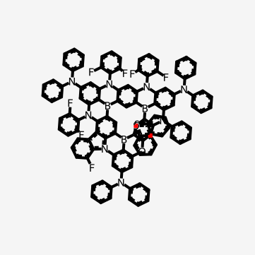 Fc1cccc(F)c1N1c2cc3c(cc2B2c4sc5ccccc5c4N(c4ccccc4)c4cc(N(c5ccccc5)c5ccccc5)cc1c42)B1c2cc4c5c(c2N(c2c(F)cccc2F)c2cc(N(c6ccccc6)c6ccccc6)cc(c21)N3c1c(F)cccc1F)c1cccc(F)c1n5-c1cc(N(c2ccccc2)c2ccccc2)cc2c1B4c1sc3ccccc3c1O2